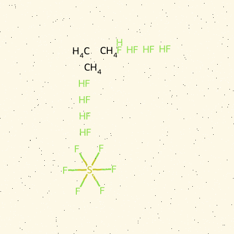 C.C.C.F.F.F.F.F.F.F.F.FS(F)(F)(F)(F)F